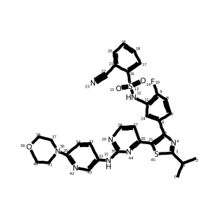 CC(C)c1nc(-c2ccc(F)c(NS(=O)(=O)c3ccccc3C#N)c2)c(-c2ccnc(Nc3ccc(N4CCOCC4)nc3)n2)s1